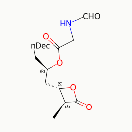 CCCCCCCCCCC[C@H](C[C@@H]1OC(=O)[C@H]1C)OC(=O)CNC=O